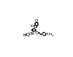 COc1ccc(N2Cc3ccc(Cl)cc3C2=O)cc1OCCN1CCC(C)CC1.Cl